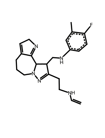 C=CNCCC1=NN2CCCC3=CCN=C3C2C1CNc1ccc(F)c(C)c1